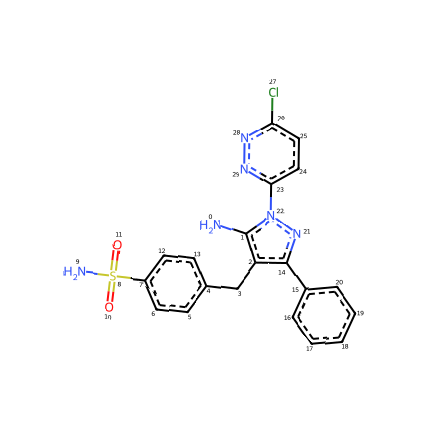 Nc1c(Cc2ccc(S(N)(=O)=O)cc2)c(-c2ccccc2)nn1-c1ccc(Cl)nn1